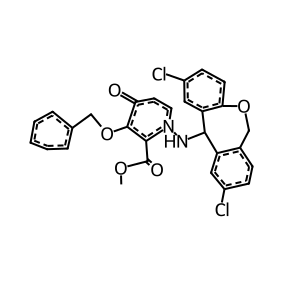 COC(=O)c1c(OCc2ccccc2)c(=O)ccn1NC1c2cc(Cl)ccc2COc2ccc(Cl)cc21